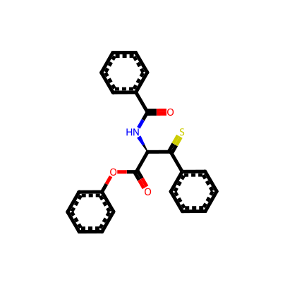 O=C(N[C@H](C(=O)Oc1ccccc1)C(=S)c1ccccc1)c1ccccc1